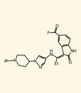 CCC(Nc1cnn(C2CCN(C(C)C)CC2)c1)=C1C(=O)Nc2ccc(C(=O)F)cc21